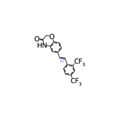 O=C1COc2ccc(/C=C/c3ccc(C(F)(F)F)cc3C(F)(F)F)cc2N1